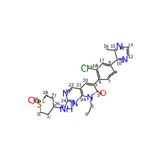 CCn1c(=O)c(-c2ccc(-c3nccnc3C)cc2Cl)cc2cnc(NC3CC[S+]([O-])CC3)nc21